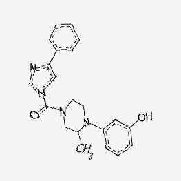 CC1CN(C(=O)n2cnc(-c3ccccc3)c2)CCN1c1cccc(O)c1